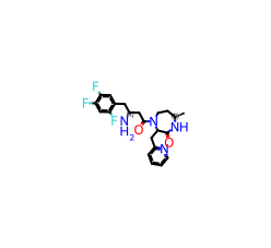 C[C@@H]1CCN(C(=O)C[C@H](N)Cc2cc(F)c(F)cc2F)C(Cc2ccccn2)C(=O)N1